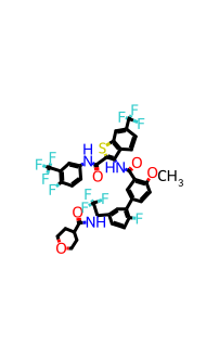 COc1ccc(-c2cc(C(NC(=O)C3CCOCC3)C(F)(F)F)ccc2F)cc1C(=O)Nc1c(C(=O)Nc2ccc(F)c(C(F)(F)F)c2)sc2cc(C(F)(F)F)ccc12